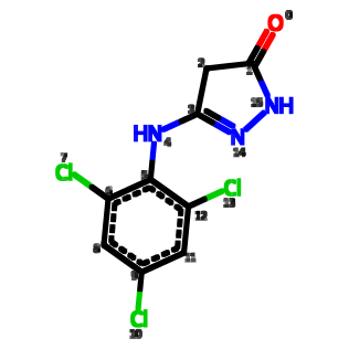 O=C1CC(Nc2c(Cl)cc(Cl)cc2Cl)=NN1